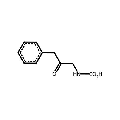 O=C(CNC(=O)O)Cc1ccccc1